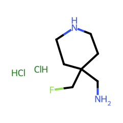 Cl.Cl.NCC1(CF)CCNCC1